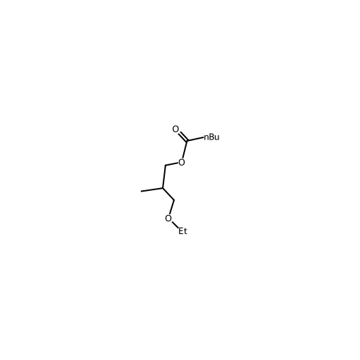 CCCCC(=O)OCC(C)COCC